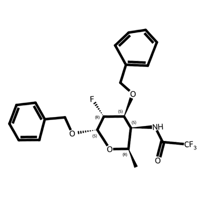 C[C@H]1O[C@H](OCc2ccccc2)[C@H](F)[C@@H](OCc2ccccc2)[C@H]1NC(=O)C(F)(F)F